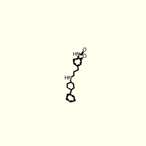 O=c1[nH]c2ccc(CCCNC3CCC(c4ccccc4)CC3)cc2o1